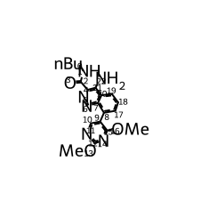 CCCCNC(=O)c1nnc2c(-c3cnc(OC)nc3OC)cccc2c1N